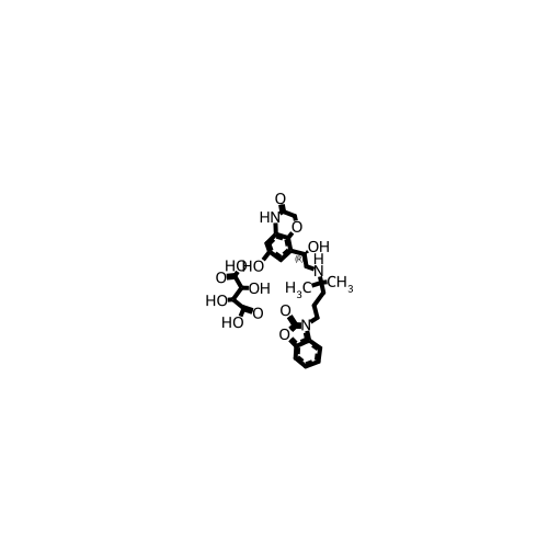 CC(C)(CCCn1c(=O)oc2ccccc21)NC[C@H](O)c1cc(O)cc2c1OCC(=O)N2.O=C(O)C(O)C(O)C(=O)O